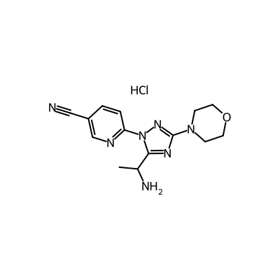 CC(N)c1nc(N2CCOCC2)nn1-c1ccc(C#N)cn1.Cl